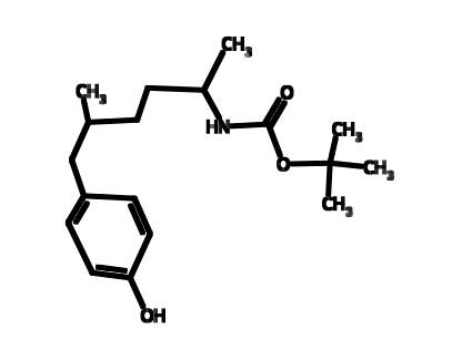 CC(CCC(C)NC(=O)OC(C)(C)C)Cc1ccc(O)cc1